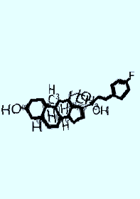 C[C@]12CC[C@H](O)C[C@@H]1CC[C@@H]1[C@@H]2CC[C@]2(C)[C@@H](C(O)(O)CCc3ccc(F)cc3)CC[C@@H]12